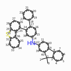 CC1(C)c2ccccc2-c2ccc(Nc3ccc(-c4ccccc4)c(-c4cccc5sc6ccccc6c45)c3)cc21